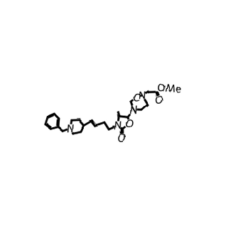 COC(=O)CN1CCN(C2OC(=O)N(CCCCC3CCN(Cc4ccccc4)CC3)C2C)CC1